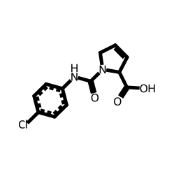 O=C(O)C1C=CCN1C(=O)Nc1ccc(Cl)cc1